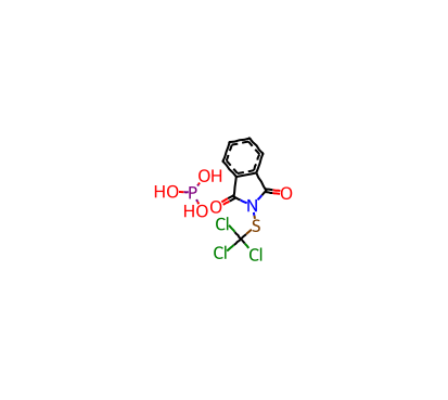 O=C1c2ccccc2C(=O)N1SC(Cl)(Cl)Cl.OP(O)O